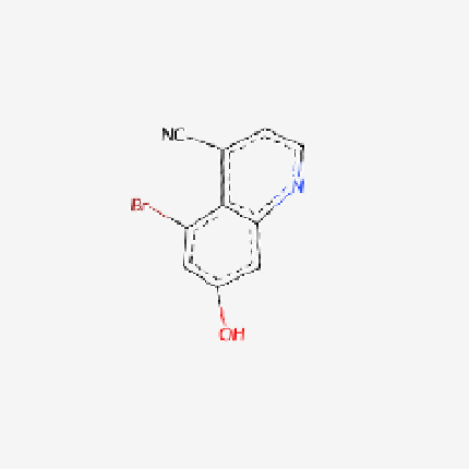 N#Cc1ccnc2cc(O)cc(Br)c12